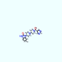 Cc1ccc2[nH]c(=O)n(C3CCN(C4CCN(C(=O)c5cncnc5)CC4)CC3)c2c1